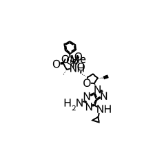 C#C[C@H]1C[C@@H](COP(=O)(N[C@H](C)C(=O)OC)Oc2ccccc2)O[C@H]1n1cnc2c(NC3CC3)nc(N)nc21